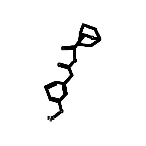 O=C(Cc1cccc(OC(F)(F)F)c1)OC(=O)C1CC2CCC1CC2